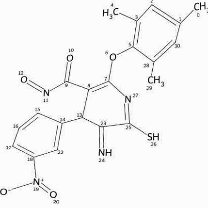 Cc1cc(C)c(OC2=C(C(=O)N=O)C(c3cccc([N+](=O)[O-])c3)C(=N)C(S)=N2)c(C)c1